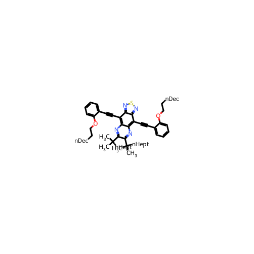 CCCCCCCCCCCCOc1ccccc1C#Cc1c2nsnc2c(C#Cc2ccccc2OCCCCCCCCCCCC)c2nc(C(C)(C)CCCCCCC)c(C(C)(C)CCCCCCC)nc12